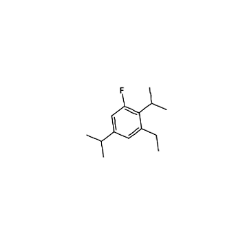 CCc1cc(C(C)C)cc(F)c1C(C)C